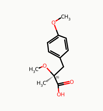 COc1ccc(C[C@](C)(OC)C(=O)O)cc1